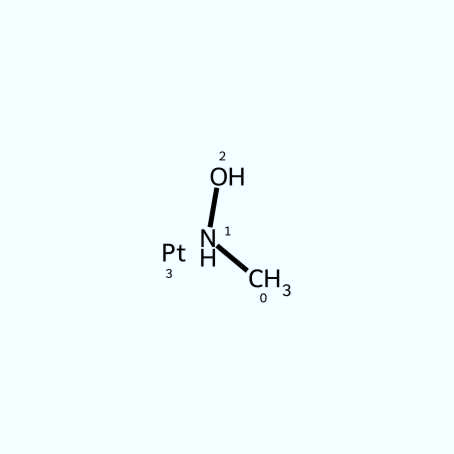 CNO.[Pt]